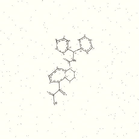 O=C(O)C(=O)c1cccc2c1CCCC2C(=O)NC(c1ccccc1)c1ccccc1